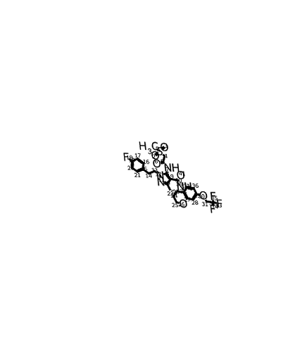 CS(=O)(=O)CC(=O)Nc1c2c(nn1CCc1ccc(F)cc1)C[C@]1(CCOc3cc(OCC(F)(F)F)ccc31)NC2=O